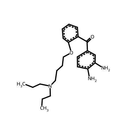 CCCN(CCC)CCCCOc1ccccc1C(=O)c1ccc(N)c(N)c1